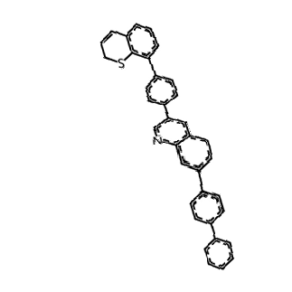 C1=Cc2cccc(-c3ccc(-c4cnc5cc(-c6ccc(-c7ccccc7)cc6)ccc5c4)cc3)c2SC1